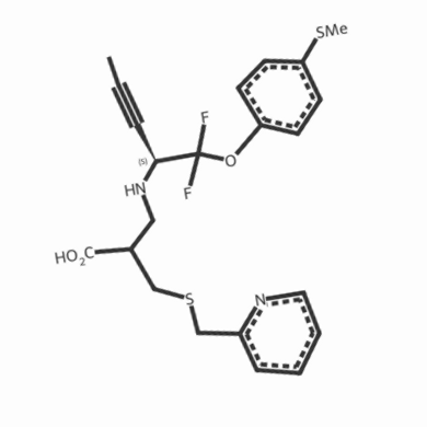 CC#C[C@H](NCC(CSCc1ccccn1)C(=O)O)C(F)(F)Oc1ccc(SC)cc1